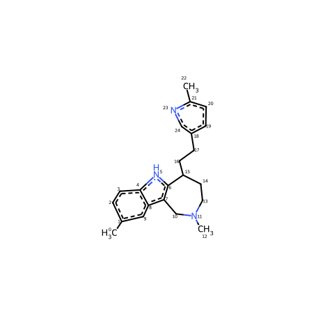 Cc1ccc2[nH]c3c(c2c1)CN(C)CCC3CCc1ccc(C)nc1